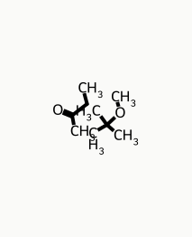 CCC(C)=O.COC(C)(C)C